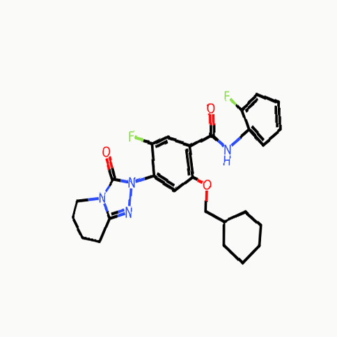 O=C(Nc1ccccc1F)c1cc(F)c(-n2nc3n(c2=O)CCCC3)cc1OCC1CCCCC1